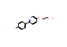 CCCCCCCc1ccc(-c2ccc(OCCOCCCCCC)cn2)cc1